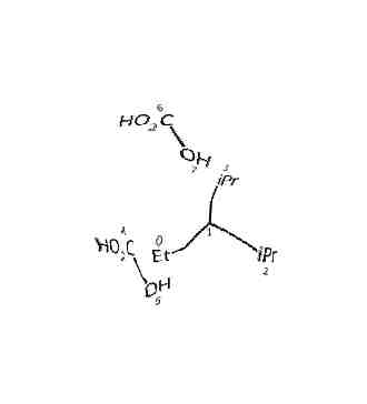 CCC(C(C)C)C(C)C.O=C(O)O.O=C(O)O